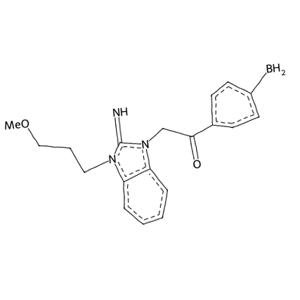 Bc1ccc(C(=O)Cn2c(=N)n(CCCOC)c3ccccc32)cc1